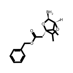 B[C@@H]1O[C@]2(CC(=O)OCc3ccccc3)C(C)O[C@H]1C2C